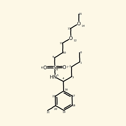 CCCCC(NS(=O)(=O)CCCOCOC)c1cccc(C)c1